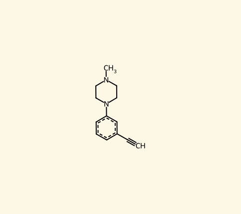 C#Cc1cccc(N2CCN(C)CC2)c1